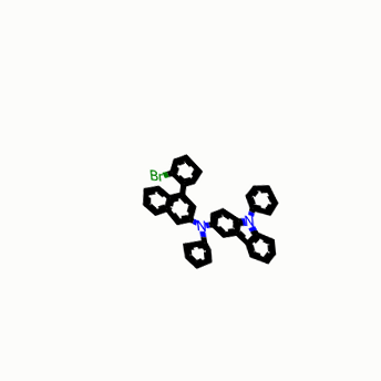 Brc1ccccc1-c1cc(N(c2ccccc2)c2ccc3c(c2)c2ccccc2n3-c2ccccc2)cc2ccccc12